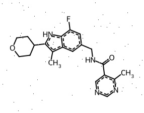 Cc1ncncc1C(=O)NCc1cc(F)c2[nH]c(C3CCOCC3)c(C)c2c1